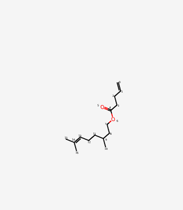 C=CCCC(=O)OCCC(C)CCC=C(C)C